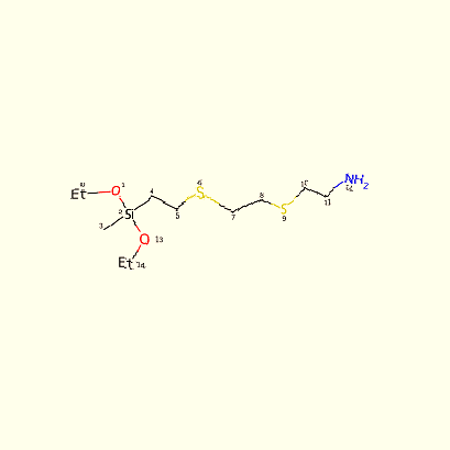 CCO[Si](C)(CCSCCSCCN)OCC